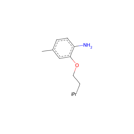 Cc1ccc(N)c(OCCC(C)C)c1